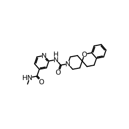 CNC(=O)c1ccnc(NC(=O)N2CCC3(CCc4ccccc4O3)CC2)c1